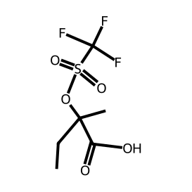 CCC(C)(OS(=O)(=O)C(F)(F)F)C(=O)O